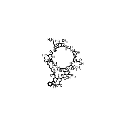 CCC(C)C1NC(=O)C(CCC(=O)O)NC(=O)C(CO)NC(=O)CNC(=O)C(C(OC)C(=O)O)NC(=O)C(CCCCN)NC(=O)C(CC(=O)O)NC(=O)C(C)NC(=O)CN(C)C(=O)C(NC(=O)C(NC(=O)C(CCC(=O)O)NC(=O)C(Cc2c[nH]c3ccccc23)NC(=O)CCCCCCC(C)C)C(O)C(N)=O)C(C)OC1=O